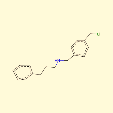 ClCc1ccc(CNCCCc2ccccc2)cc1